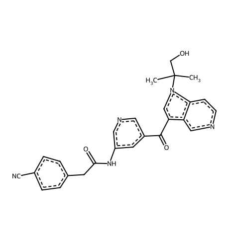 CC(C)(CO)n1cc(C(=O)c2cncc(NC(=O)Cc3ccc(C#N)cc3)c2)c2cnccc21